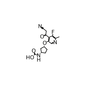 Cc1ncc(O[C@@H]2CC[C@H](NC(=O)O)C2)c(C(=O)CC#N)c1F